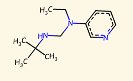 CCN(CNC(C)(C)C)c1cccnc1